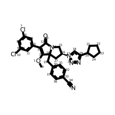 COC1=C(c2cc(Cl)cc(Cl)c2)C(=O)N2C[C@@H](n3cc(C4CCCC4)nn3)CC12Cc1ccc(C#N)cc1